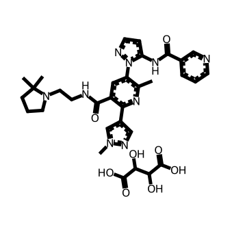 Cc1nc(-c2cnn(C)c2)c(C(=O)NCCN2CCCC2(C)C)cc1-n1nccc1NC(=O)c1cccnc1.O=C(O)C(O)C(O)C(=O)O